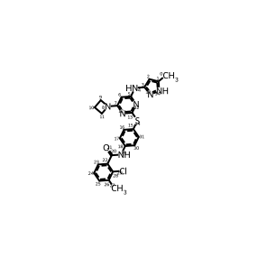 Cc1cc(Nc2cc(N3CCC3)nc(Sc3ccc(NC(=O)c4cccc(C)c4Cl)cc3)n2)n[nH]1